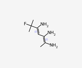 C/C(N)=C(N)\C=C(/N)C(C)(C)F